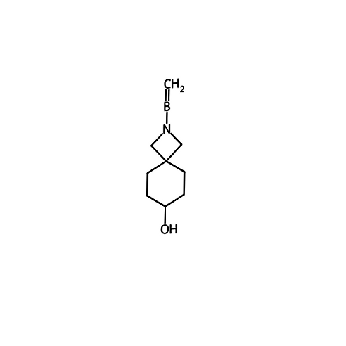 C=BN1CC2(CCC(O)CC2)C1